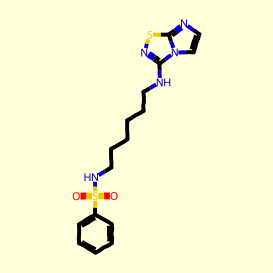 O=S(=O)(NCCCCCCNc1nsc2nccn12)c1ccccc1